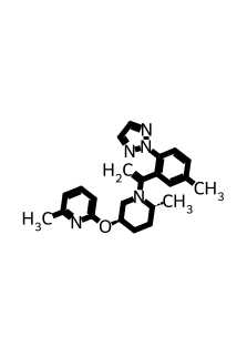 C=C(c1cc(C)ccc1-n1nccn1)N1C[C@H](Oc2cccc(C)n2)CC[C@H]1C